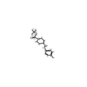 Cc1ccc(SOC2CCN(C(=O)OC(C)(C)C)CC2)cc1